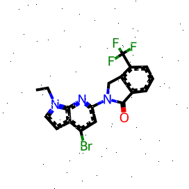 CCn1ccc2c(Br)cc(N3Cc4c(cccc4C(F)(F)F)C3=O)nc21